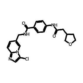 O=C(CC1CCOC1)Nc1ccc(C(=O)NCc2ccc3ncc(Cl)n3c2)cc1